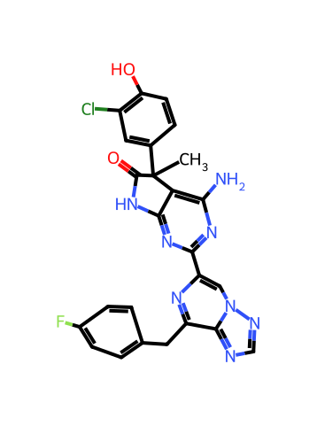 CC1(c2ccc(O)c(Cl)c2)C(=O)Nc2nc(-c3cn4ncnc4c(Cc4ccc(F)cc4)n3)nc(N)c21